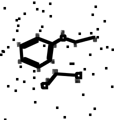 CCOc1ccccc1.ClCCl